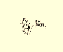 CN(C)CCCN1Cc2ccccc2Cc2ccccc21